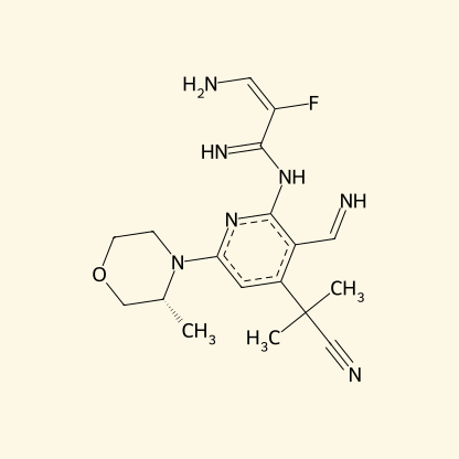 C[C@@H]1COCCN1c1cc(C(C)(C)C#N)c(C=N)c(NC(=N)/C(F)=C\N)n1